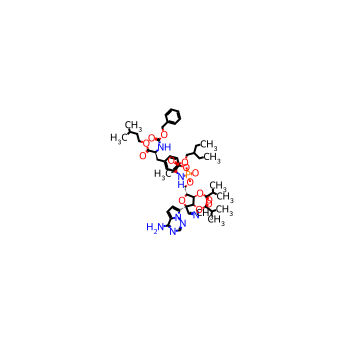 CCC(CC)COC(=O)[C@H](C)NP(=O)(OC[C@H]1O[C@@](/C=N\C)(c2ccc3c(N)ncnn23)[C@H](OC(=O)C(C)C)[C@@H]1OC(=O)C(C)C)Oc1ccc(C[C@H](NC(=O)OCc2ccccc2)C(=O)OCCC(C)C)cc1